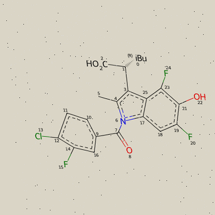 CC[C@@H](C)C(C(=O)O)c1c(C)n(C(=O)c2ccc(Cl)c(F)c2)c2cc(F)c(O)c(F)c12